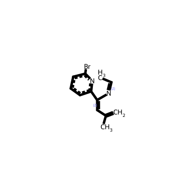 C=C(C)/C=C(\N=C/C)c1cccc(Br)n1